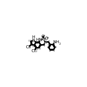 Nc1ccccc1CN1Cc2cc(Cl)c3c(Cl)c[nH]c3c2NS1(=O)=O